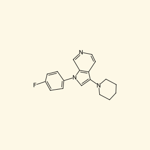 Fc1ccc(-n2cc(N3CCCCC3)c3ccncc32)cc1